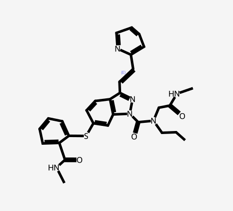 CCCN(CC(=O)NC)C(=O)n1nc(/C=C/c2ccccn2)c2ccc(Sc3ccccc3C(=O)NC)cc21